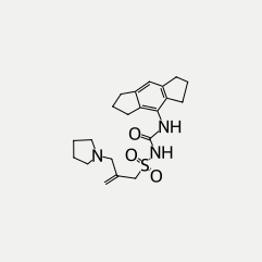 C=C(CN1CCCC1)CS(=O)(=O)NC(=O)Nc1c2c(cc3c1CCC3)CCC2